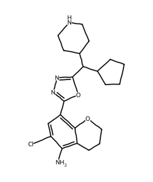 Nc1c(Cl)cc(-c2nnc(C(C3CCCC3)C3CCNCC3)o2)c2c1CCCO2